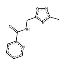 Cc1noc(CNC(=O)c2ccccn2)n1